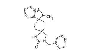 CN(C)C1(c2ccccc2)CCC2(CC1)CN(Cc1ccncc1)C(=O)N2